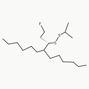 CCCCCCC(CCCCCC)[C@H](CCF)SSC(C)C